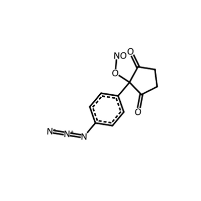 [N-]=[N+]=Nc1ccc(C2(ON=O)C(=O)CCC2=O)cc1